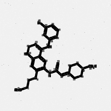 COCCOc1cc2c(cc1NC(=O)C=C1CCN(C(=O)O)CC1)C(Nc1cccc(Br)c1)=NCN2